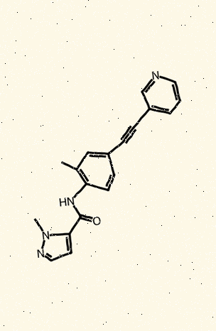 Cc1cc(C#Cc2cccnc2)ccc1NC(=O)c1ccnn1C